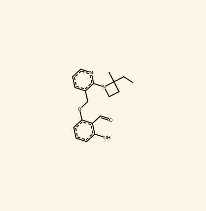 CCC1(C)CCN1c1ncccc1COc1cccc(O)c1C=O